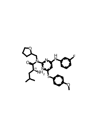 COc1ccc(Sc2cc(Nc3cccc(F)c3)nc(N(CC3CCCO3)C(=O)[C@@H](N)CC(C)C)n2)cc1